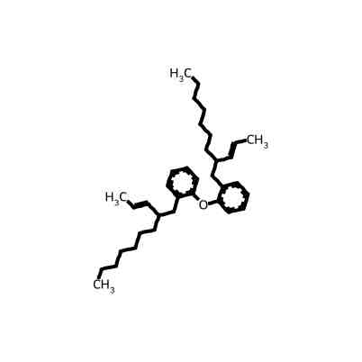 CC=CC(CCCCCCC)Cc1ccccc1Oc1ccccc1CC(C=CC)CCCCCCC